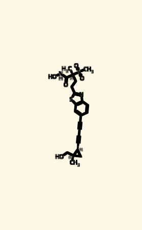 C[C@]1(CO)C[C@@H]1C#CC#Cc1ccc2nc(CC[C@](C)(C(=O)NO)S(C)(=O)=O)sc2c1